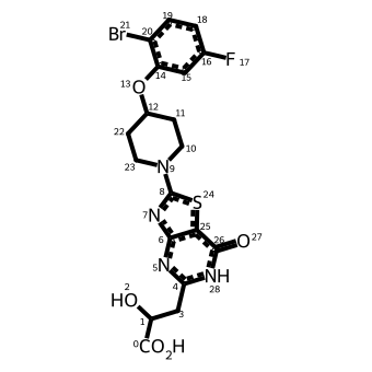 O=C(O)C(O)Cc1nc2nc(N3CCC(Oc4cc(F)ccc4Br)CC3)sc2c(=O)[nH]1